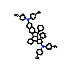 CC(C)c1ccc(N(c2ccc(C#N)cc2)c2ccc3cc4c(cc3c2)C(c2ccccc2)(c2ccccc2)c2c-4c3ccccc3c3cc(N(c4ccc(C#N)cc4)c4ccc(C(C)C)cc4)ccc23)cc1